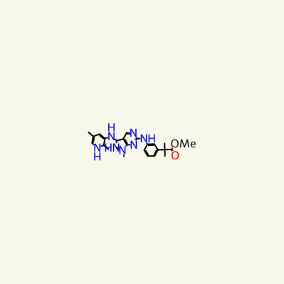 COC(=O)C(C)(C)c1cccc(Nc2ncc3c(n2)N(C)NC3NC2=CC(C)=CNC2C)c1